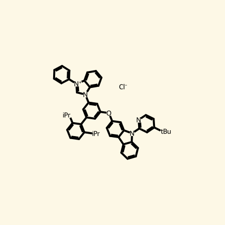 CC(C)c1cccc(C(C)C)c1-c1cc(Oc2ccc3c4ccccc4n(-c4cc(C(C)(C)C)ccn4)c3c2)cc(-n2c[n+](-c3ccccc3)c3ccccc32)c1.[Cl-]